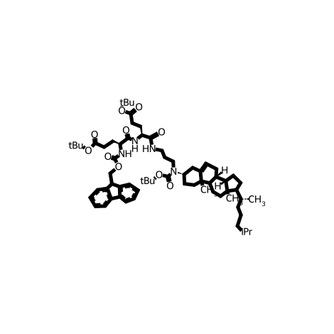 CC(C)CCC[C@@H](C)C1CC[C@H]2[C@H]3CC=C4C[C@@H](N(CCCNC(=O)[C@H](CCC(=O)OC(C)(C)C)NC(=O)[C@H](CCC(=O)OC(C)(C)C)NC(=O)OCC5c6ccccc6-c6ccccc65)C(=O)OC(C)(C)C)CCC4(C)C3CCC12C